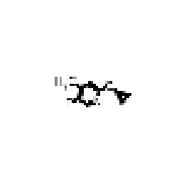 Cc1cc(OC2CC2)ncc1F